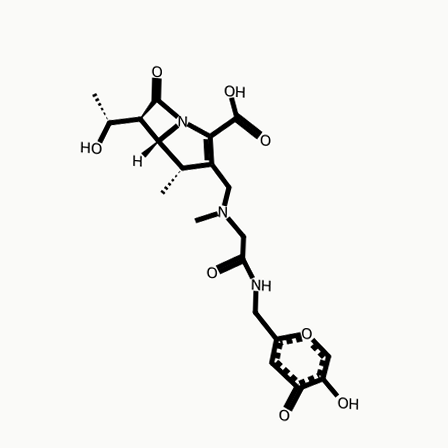 C[C@@H](O)[C@H]1C(=O)N2C(C(=O)O)=C(CN(C)CC(=O)NCc3cc(=O)c(O)co3)[C@H](C)[C@H]12